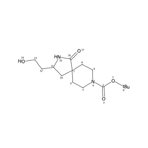 CC(C)(C)OC(=O)N1CCC2(CC1)CC(CCO)NC2=O